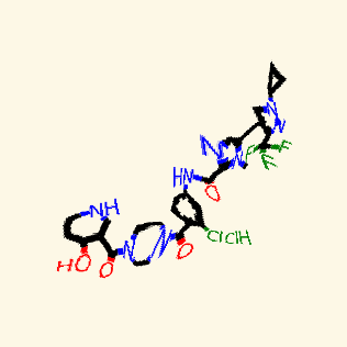 Cl.Cn1c(-c2cn(C3CC3)nc2C(F)(F)F)cnc1C(=O)Nc1ccc(C(=O)N2CCN(C(=O)C3CNCCC3O)CC2)c(Cl)c1